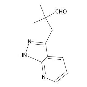 CC(C)(C=O)Cc1n[nH]c2ncccc12